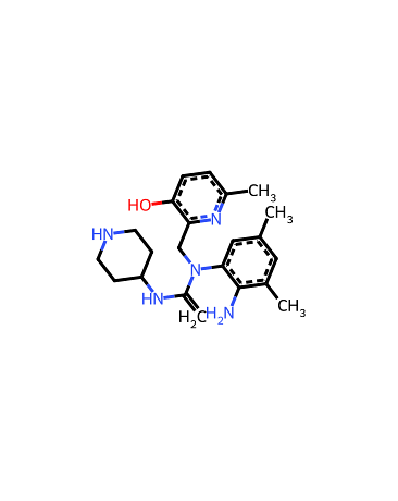 C=C(NC1CCNCC1)N(Cc1nc(C)ccc1O)c1cc(C)cc(C)c1N